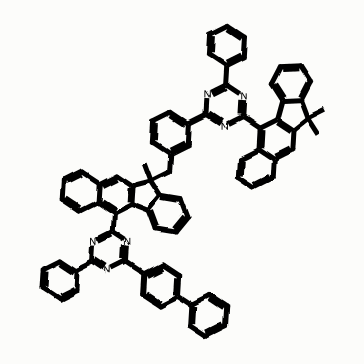 CC1(C)c2ccccc2-c2c1cc1ccccc1c2-c1nc(-c2ccccc2)nc(-c2cccc(CC3(C)c4ccccc4-c4c3cc3ccccc3c4-c3nc(-c4ccccc4)nc(-c4ccc(-c5ccccc5)cc4)n3)c2)n1